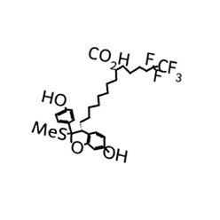 CS[C@]1(c2ccc(O)cc2)COc2cc(O)ccc2[C@H]1CCCCCCCCC[C@@H](CCCC(F)(F)C(F)(F)F)C(=O)O